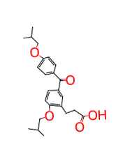 CC(C)COc1ccc(C(=O)c2ccc(OCC(C)C)c(CCC(=O)O)c2)cc1